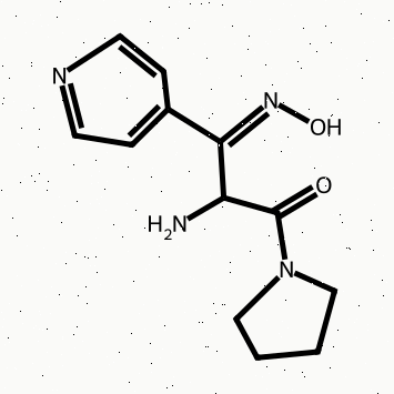 NC(C(=O)N1CCCC1)C(=NO)c1ccncc1